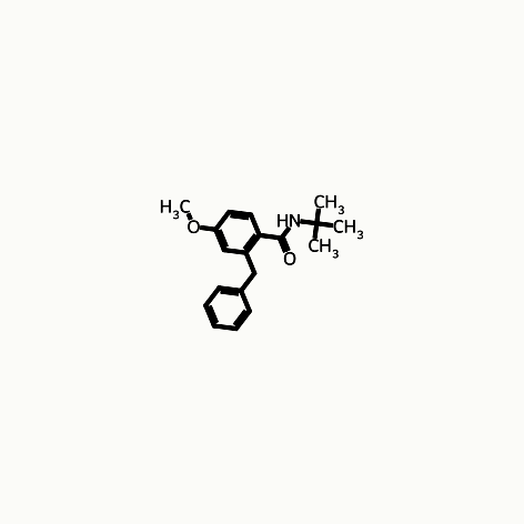 COc1ccc(C(=O)NC(C)(C)C)c(Cc2ccccc2)c1